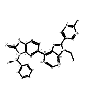 CCn1c(-c2cnc(C)nc2)nc2c(-c3ccc4oc(=O)n([C@H](C)c5ccccc5)c4c3)ncnc21